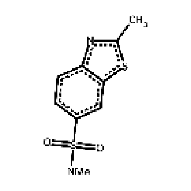 CNS(=O)(=O)c1ccc2nc(C)sc2c1